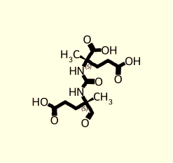 C[C@@](C=O)(CCC(=O)O)NC(=O)N[C@@](C)(CCC(=O)O)C(=O)O